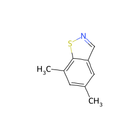 Cc1cc(C)c2sncc2c1